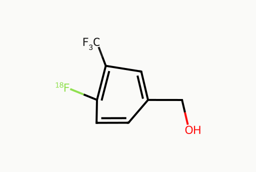 OCc1ccc([18F])c(C(F)(F)F)c1